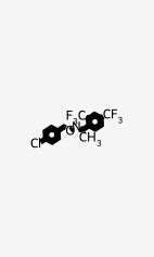 C/C(=N\OCc1ccc(Cl)cc1)c1ccc(C(F)(F)F)cc1C(F)(F)F